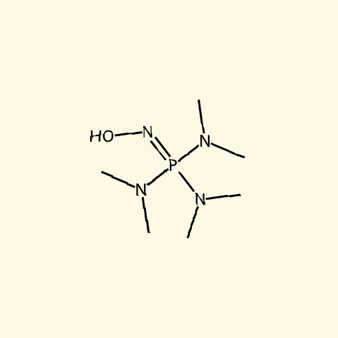 CN(C)P(=NO)(N(C)C)N(C)C